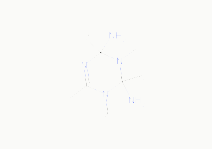 CC1=NC(C)(N)N(C)C(C)(N)N1C